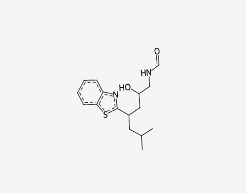 CC(C)CC(CC(O)CNC=O)c1nc2ccccc2s1